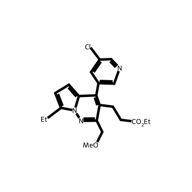 CCOC(=O)CCc1c(COC)nn2c(CC)ccc2c1-c1cncc(Cl)c1